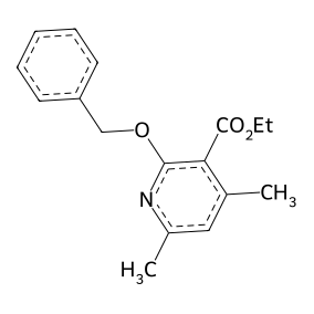 CCOC(=O)c1c(C)cc(C)nc1OCc1ccccc1